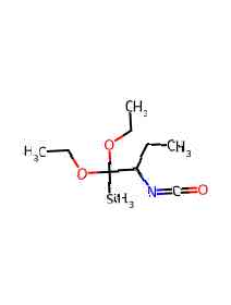 CCOC([SiH3])(OCC)C(CC)N=C=O